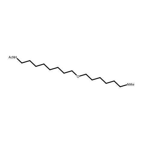 CNCCCCCCOCCCCCCCCNC(C)=O